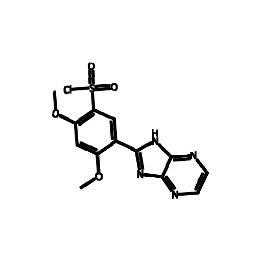 COc1cc(OC)c(S(=O)(=O)Cl)cc1-c1nc2nccnc2[nH]1